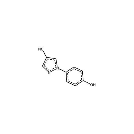 N#Cc1cnn(-c2ccc(O)cc2)c1